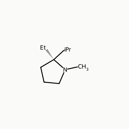 CC[C@@]1(C(C)C)CCCN1C